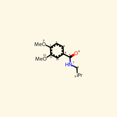 COc1ccc(C(=O)NCC(C)C)cc1OC